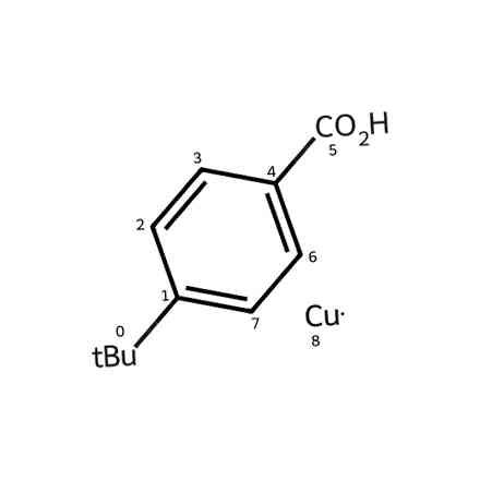 CC(C)(C)c1ccc(C(=O)O)cc1.[Cu]